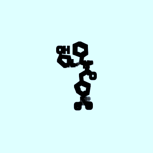 CN(C(=O)Cc1ccc([N+](=O)[O-])cc1)[C@H](CN1CC[C@H](O)C1)c1ccccc1